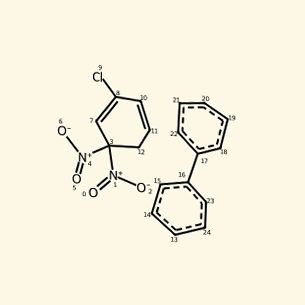 O=[N+]([O-])C1([N+](=O)[O-])C=C(Cl)C=CC1.c1ccc(-c2ccccc2)cc1